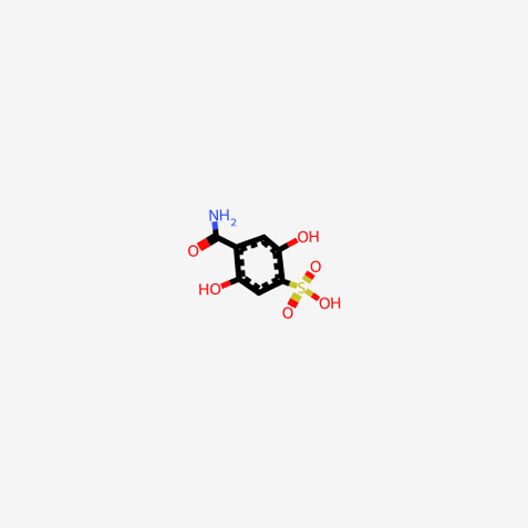 NC(=O)c1cc(O)c(S(=O)(=O)O)cc1O